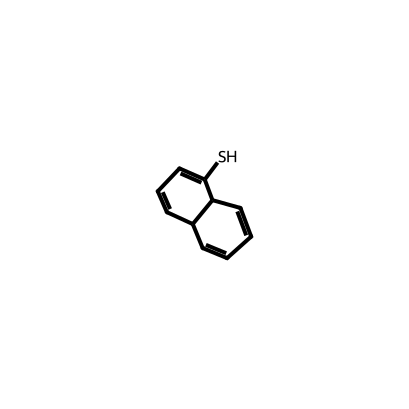 SC1=CC=CC2C=CC=CC12